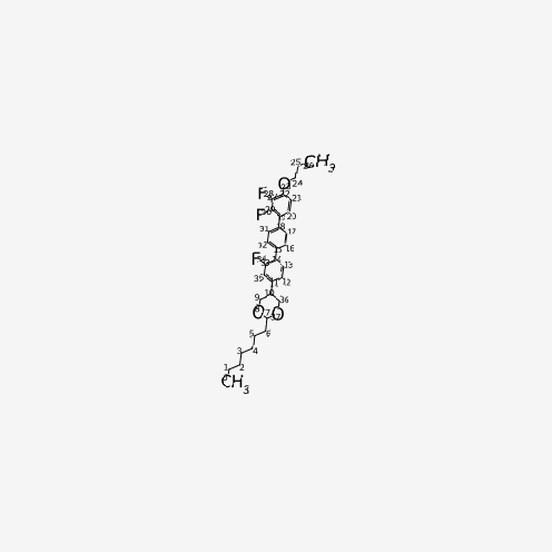 CCCCCCCC1OCC(c2ccc(-c3ccc(-c4ccc(OCCC)c(F)c4F)cc3)c(F)c2)CO1